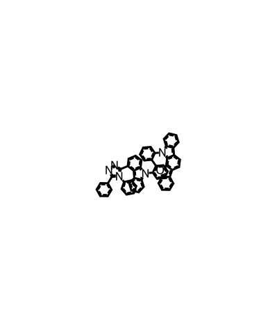 c1ccc(-c2nnc(-c3cccc4c3c3ccccc3n4-c3ccccc3-c3ccccc3-n3c4ccccc4c4ccc5c6ccccc6oc5c43)n2-c2ccccc2)cc1